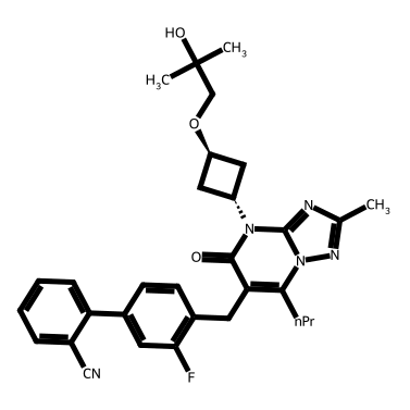 CCCc1c(Cc2ccc(-c3ccccc3C#N)cc2F)c(=O)n([C@H]2C[C@H](OCC(C)(C)O)C2)c2nc(C)nn12